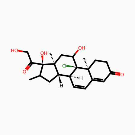 CC1C[C@H]2[C@@H]3C=CC4=CC(=O)CC[C@]4(C)[C@@]3(Cl)C(O)C[C@]2(C)[C@@]1(O)C(=O)CO